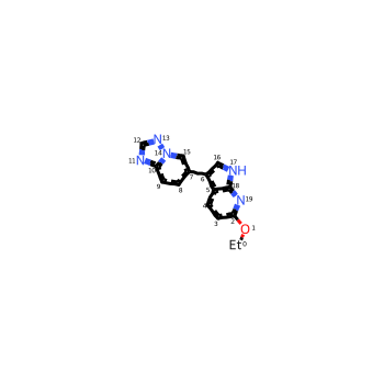 CCOc1ccc2c(-c3ccc4ncnn4c3)c[nH]c2n1